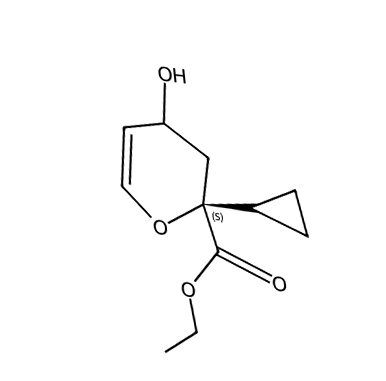 CCOC(=O)[C@@]1(C2CC2)CC(O)C=CO1